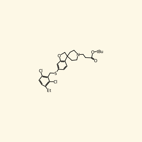 CCc1ccc(Cl)c(CSc2ccc3c(c2)OCC32CCN(CCC(=O)OC(C)(C)C)CC2)c1Cl